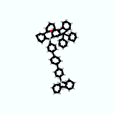 c1ccc(-c2ccccc2N(c2ccc(-c3ccc(-c4ccc(-n5c6ccccc6c6ccccc65)cc4)cc3)cc2)c2ccc3c(c2)C(c2ccccc2)(c2ccccc2)c2ccccc2-3)cc1